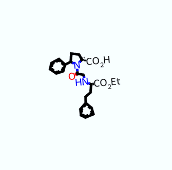 CCOC(=O)C(CCc1ccccc1)NCC(=O)N1C(c2ccccc2)CC[C@H]1C(=O)O